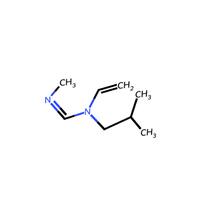 C=CN(/C=N\C)CC(C)C